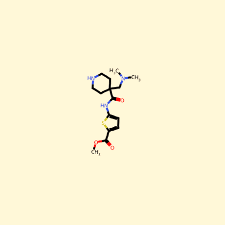 COC(=O)c1ccc(NC(=O)C2(CN(C)C)CCNCC2)s1